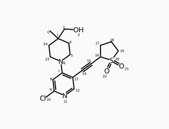 CC1(CO)CCN(c2cc(Cl)ncc2C#CC2CCCS2(=O)=O)CC1